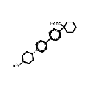 CCCC(C)C1(c2ccc(-c3ccc([C@H]4CC[C@H](CCC)CC4)cc3)cc2)CCCCC1